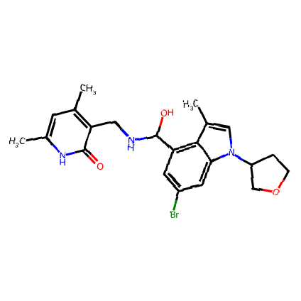 Cc1cc(C)c(CNC(O)c2cc(Br)cc3c2c(C)cn3C2CCOC2)c(=O)[nH]1